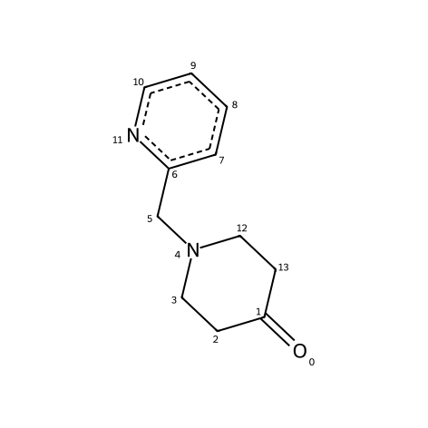 O=C1CCN(Cc2ccccn2)CC1